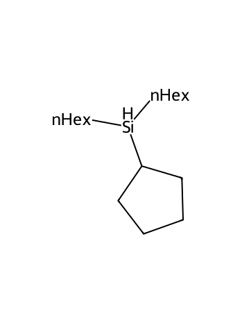 CCCCCC[SiH](CCCCCC)C1CCCC1